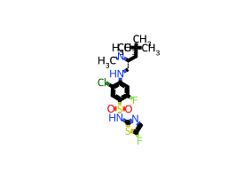 CN(C)[C@@H](CNc1cc(F)c(S(=O)(=O)Nc2ncc(F)s2)cc1Cl)CC(C)(C)C